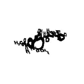 COC(=O)Nc1ccc2c(c1)NC(=O)C(C)CCC[C@H](NC(=O)/C(N)=C/N(N)c1cccc(Cl)c1F)c1cc-2cc(=O)[nH]1